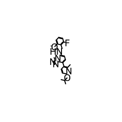 COc1cccc(F)c1CNc1ccc(-c2ccc(OC(C)C)nc2C)c2nncn12